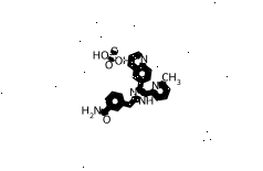 Cc1cccc(-c2[nH]c(Cc3cccc(C(N)=O)c3)nc2-c2ccc3ncccc3c2)n1.O=S(=O)(O)O